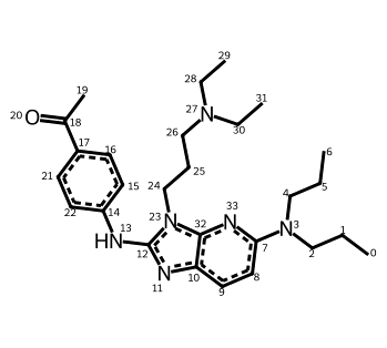 CCCN(CCC)c1ccc2nc(Nc3ccc(C(C)=O)cc3)n(CCCN(CC)CC)c2n1